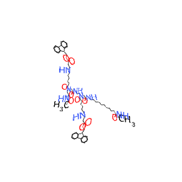 CNC(=O)CCCCCCCCCCNC(=O)CN(CCNC(=O)CN(CCNC(C)=O)C(=O)CCCCCNCCC(=O)OCC1c2ccccc2-c2ccccc21)C(=O)CCCCCNCCC(=O)OCC1c2ccccc2-c2ccccc21